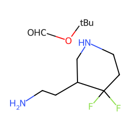 CC(C)(C)OC=O.NCCC1CNCCC1(F)F